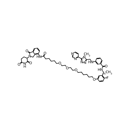 C[C@@H](NC(=O)c1cccc(NCc2nnc(-c3ccncn3)n2C)c1)c1cc(OCCCCCCOCCOCCOCCCCCC(=O)Nc2cccc3c2CN(C2CCC(=O)NC2=O)C3=O)ccc1F